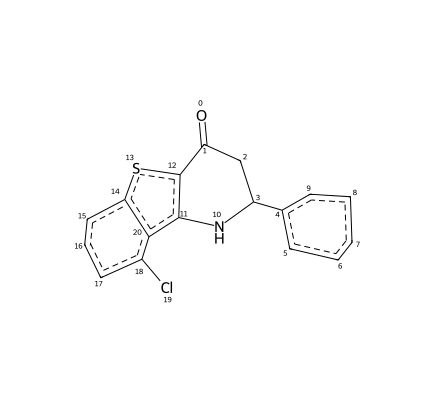 O=C1CC(c2ccccc2)Nc2c1sc1cccc(Cl)c21